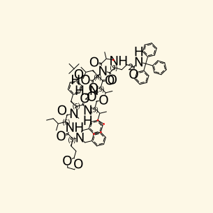 CCC(C)[C@H](NC(=O)[C@H](Cc1ccc(OC(C)(C)C)cc1)N(C)C(=O)[C@@H](NC(=O)[C@H](CCC1OCCO1)N(Cc1ccccc1)Cc1ccccc1)C(C)CC)C(=O)OC(C)[C@H](N)C(=O)[C@](CC(C)C)(C(=O)O)N(C(=O)C(C)C)C(=O)[C@@H](N)CCC(=O)NC(c1ccccc1)(c1ccccc1)c1ccccc1